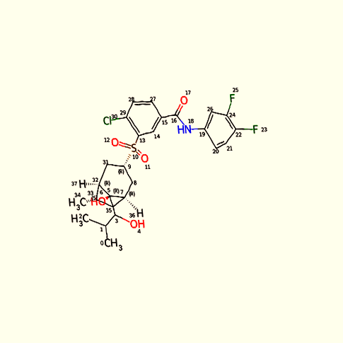 CC(C)C(O)[C@@]1(O)[C@H]2C[C@@H](S(=O)(=O)c3cc(C(=O)Nc4ccc(F)c(F)c4)ccc3Cl)C[C@@H]1[C@@H](C)C2